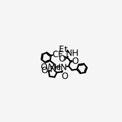 CCNC(=O)C(=O)C(Cc1ccccc1)NC(=O)C1CCC(=O)N1Cc1c(OC)cccc1C(F)(F)F